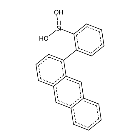 O[SiH](O)c1ccccc1-c1cccc2cc3ccccc3cc12